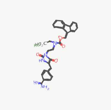 Cl.N=C(N)c1ccc(CC2NC(=O)N(CCN(CC(=O)O)C(=O)OCC3c4ccccc4-c4ccccc43)C2=O)cc1